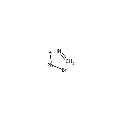 C=N.[Br][Pb][Br]